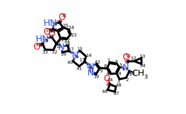 C[C@H]1CCc2c(ccc(-c3cnn(C4CCN(C5CN(C6(c7cccc8c7C(=O)NC8=O)CCC(=O)NC6=O)C5)CC4)c3)c2OC2CCC2)N1C(=O)C1CC1